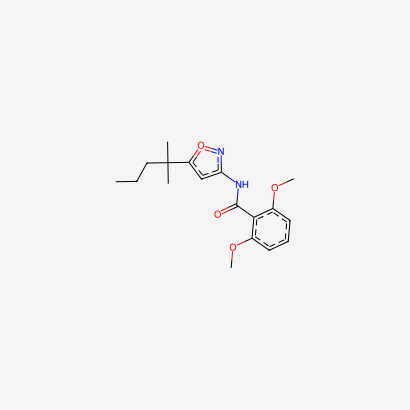 CCCC(C)(C)c1cc(NC(=O)c2c(OC)cccc2OC)no1